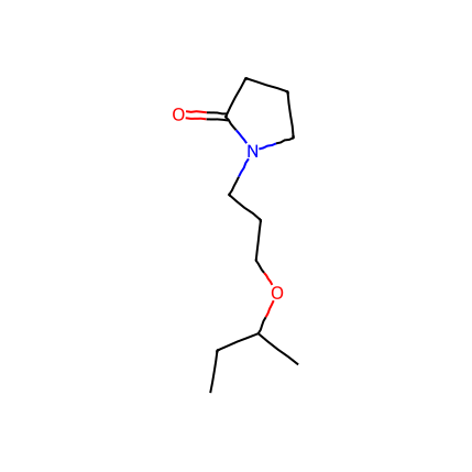 CCC(C)OCCCN1CCCC1=O